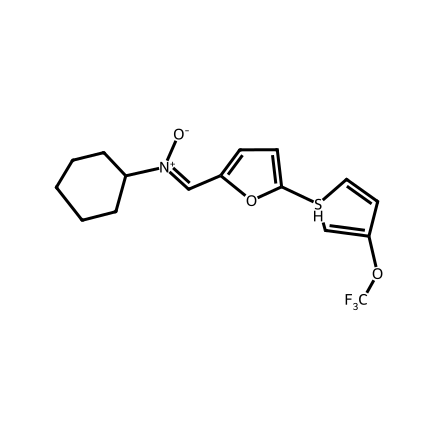 [O-][N+](=Cc1ccc([SH]2C=CC(OC(F)(F)F)=C2)o1)C1CCCCC1